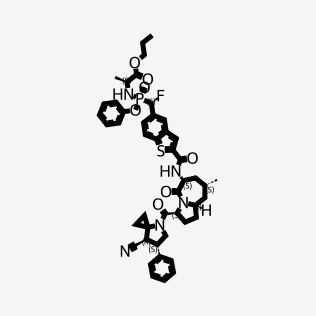 CCCOC(=O)[C@H](C)NP(=O)(Oc1ccccc1)[C@H](F)c1ccc2sc(C(=O)N[C@H]3C[C@H](C)C[C@H]4CC[C@@H](C(=O)N5C[C@H](c6ccccc6)[C@@H](C#N)C56CC6)N4C3=O)cc2c1